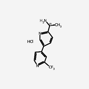 C[C@H](N)c1ccc(-c2ccnc(C(F)(F)F)c2)cn1.Cl